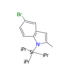 Cc1cc2cc(Br)ccc2n1[Si](C(C)C)(C(C)C)C(C)C